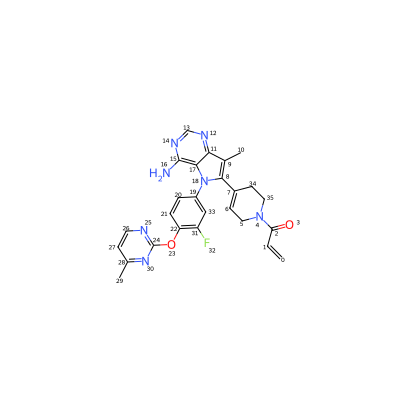 C=CC(=O)N1CC=C(c2c(C)c3ncnc(N)c3n2-c2ccc(Oc3nccc(C)n3)c(F)c2)CC1